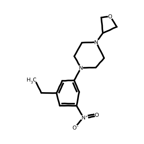 CCc1cc(N2CCN(C3COC3)CC2)cc([N+](=O)[O-])c1